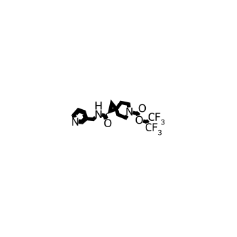 O=C(NCc1cccnc1)[C@@H]1CC12CCN(C(=O)OC(C(F)(F)F)C(F)(F)F)CC2